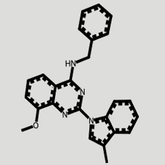 COc1cccc2c(NCc3ccccc3)nc(-n3cc(C)c4ccccc43)nc12